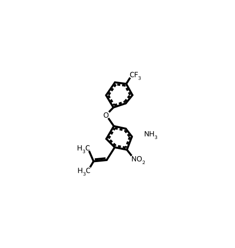 CC(C)=Cc1cc(Oc2ccc(C(F)(F)F)cc2)ccc1[N+](=O)[O-].N